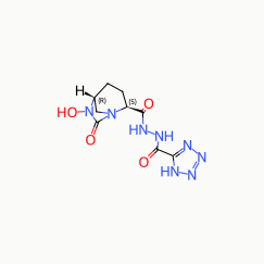 O=C(NNC(=O)[C@@H]1CC[C@@H]2CN1C(=O)N2O)c1nnn[nH]1